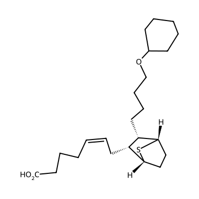 O=C(O)CCC/C=C\C[C@@H]1[C@H](CCCCOC2CCCCC2)[C@@H]2CC[C@H]1S2